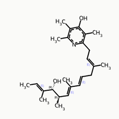 C/C=C(\C)[C@H](O)[C@H](C)/C=C(C)/C=C/C/C(C)=C/Cc1nc(C)c(C)c(O)c1C